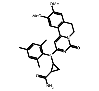 COc1cc2c(cc1OC)-c1cc(N(c3c(C)cc(C)cc3C)C3CC3C(N)=O)nc(=O)n1CC2